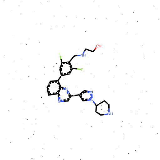 OCCNCc1c(F)cc(-c2cccc3ncc(-c4cnn(C5CCNCC5)c4)nc23)cc1F